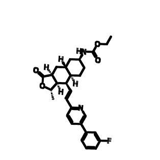 CCOC(=O)N[C@H]1CC[C@@H]2[C@@H](C1)C[C@@H]1C(=O)O[C@@H](C)[C@@H]1[C@@H]2/C=C/c1ccc(-c2cccc(F)c2)cn1